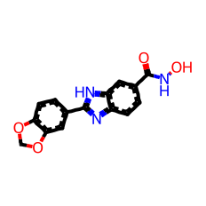 O=C(NO)c1ccc2nc(-c3ccc4c(c3)OCO4)[nH]c2c1